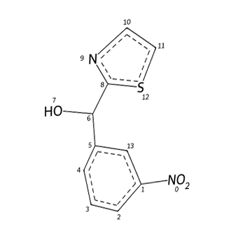 O=[N+]([O-])c1cccc(C(O)c2nccs2)c1